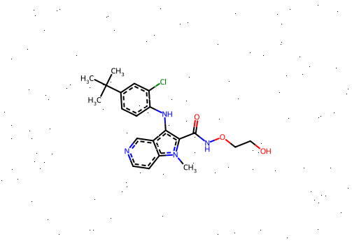 Cn1c(C(=O)NOCCO)c(Nc2ccc(C(C)(C)C)cc2Cl)c2cnccc21